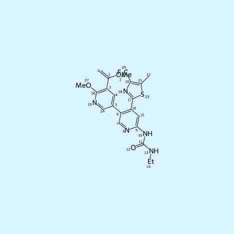 C=C(OC)c1cc(-c2cnc(NC(=O)NCC)cc2-c2nc(C(F)(F)F)c(C)s2)cnc1OC